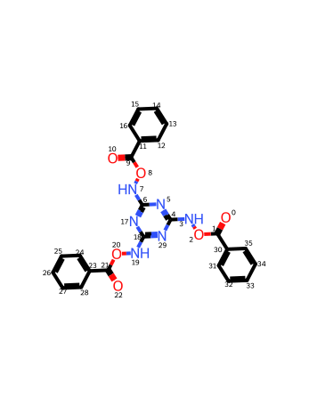 O=C(ONc1nc(NOC(=O)c2ccccc2)nc(NOC(=O)c2ccccc2)n1)c1ccccc1